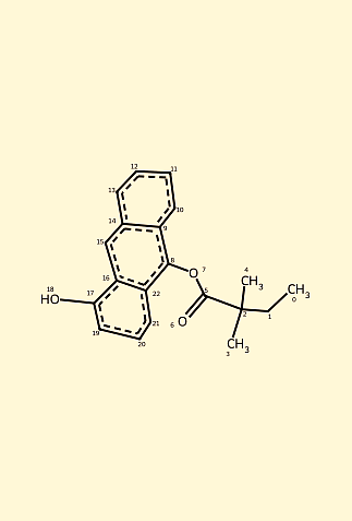 CCC(C)(C)C(=O)Oc1c2ccccc2cc2c(O)cccc12